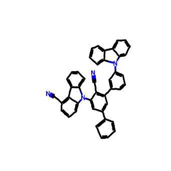 N#Cc1c(-c2cccc(-n3c4ccccc4c4ccccc43)c2)cc(-c2ccccc2)cc1-n1c2ccccc2c2c(C#N)cccc21